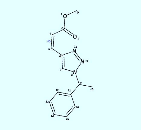 COC(=O)/C=C\c1cn(C(C)c2ccccc2)nn1